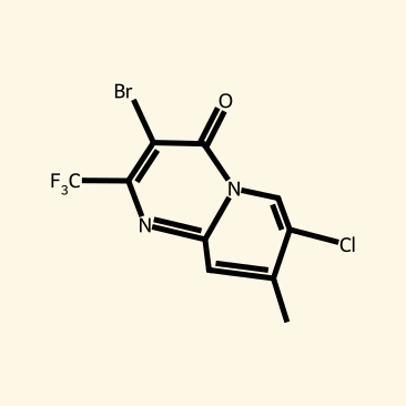 Cc1cc2nc(C(F)(F)F)c(Br)c(=O)n2cc1Cl